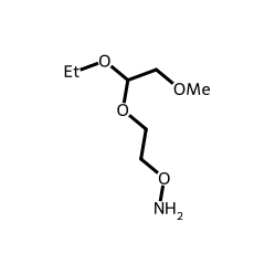 CCOC(COC)OCCON